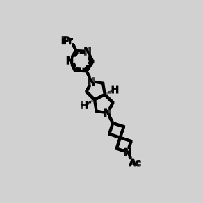 CC(=O)N1CC2(CC(N3C[C@H]4CN(c5cnc(C(C)C)nc5)C[C@H]4C3)C2)C1